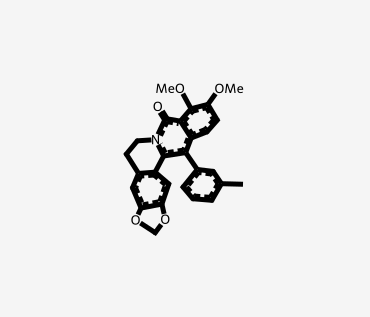 COc1ccc2c(-c3cccc(C)c3)c3n(c(=O)c2c1OC)CCc1cc2c(cc1-3)OCO2